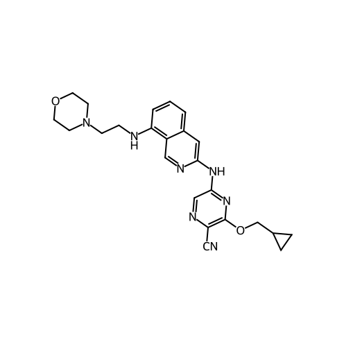 N#Cc1ncc(Nc2cc3cccc(NCCN4CCOCC4)c3cn2)nc1OCC1CC1